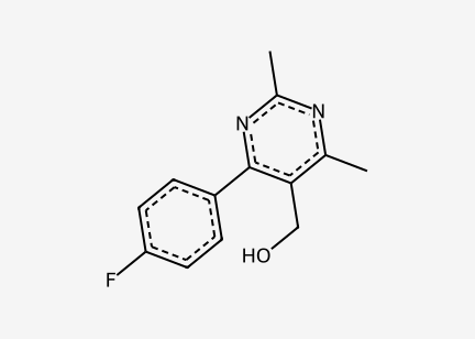 Cc1nc(C)c(CO)c(-c2ccc(F)cc2)n1